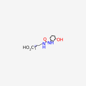 C/C(=C\CCNC(=O)Nc1cccc(O)c1)C(=O)O